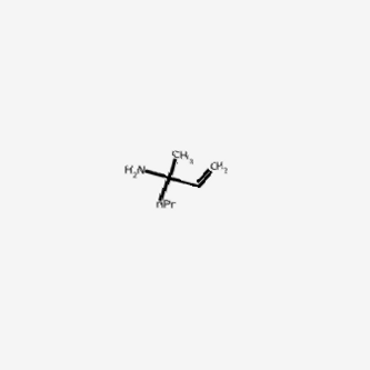 C=CC(C)(N)CCC